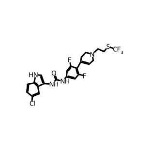 O=C(Nc1cc(F)c(C2=CCN(CCSC(F)(F)F)CC2)c(F)c1)Nc1c[nH]c2ccc(Cl)cc12